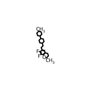 CC1CCC(C2CCC(CCc3cc4c(c(F)c3F)OC(C)CC4)CC2)CC1